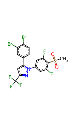 CS(=O)(=O)c1c(F)cc(-n2nc(C(F)(F)F)cc2-c2ccc(Br)c(Br)c2)cc1F